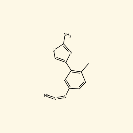 Cc1ccc(N=[N+]=[N-])cc1-c1csc(N)n1